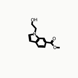 COC(=O)c1ccc2ccn(CCO)c2c1